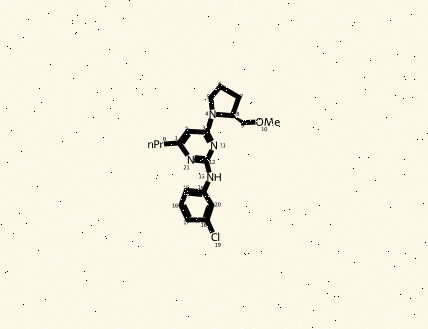 CCCc1cc(N2CCC[C@H]2COC)nc(Nc2cccc(Cl)c2)n1